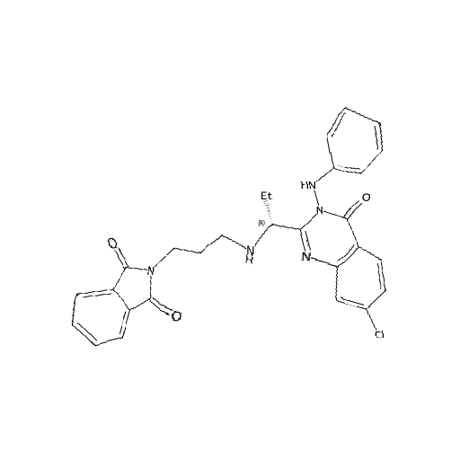 CC[C@@H](NCCCN1C(=O)c2ccccc2C1=O)c1nc2cc(Cl)ccc2c(=O)n1Nc1ccccc1